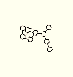 c1ccc(-c2ccc(-c3nc(-c4ccccc4)nc(-c4cc(-c5cccc6c5sc5c(-c7ccccc7)cccc56)c5c(c4)oc4ccccc45)n3)cc2)cc1